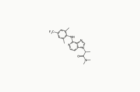 Cc1cc(C(F)(F)F)cc(C)c1Nc1nccc2c1ncn2C(C)C(=O)N(C)C